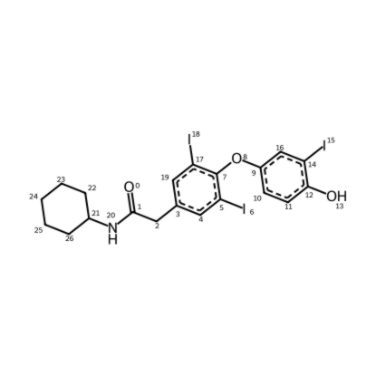 O=C(Cc1cc(I)c(Oc2ccc(O)c(I)c2)c(I)c1)NC1CCCCC1